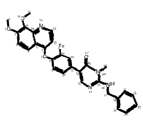 COc1ccc2c(Oc3ccc(-c4cnc(NCc5ccccc5)n(C)c4=O)cc3F)ccnc2c1OC